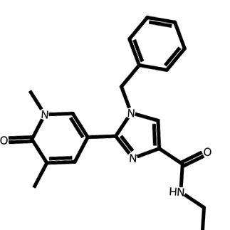 CCNC(=O)c1cn(Cc2ccccc2)c(-c2cc(C)c(=O)n(C)c2)n1